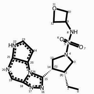 CC[C@H]1CN(S(=O)(=O)NC2COC2)C[C@H]1c1nnc2cnc3[nH]ccc3n12